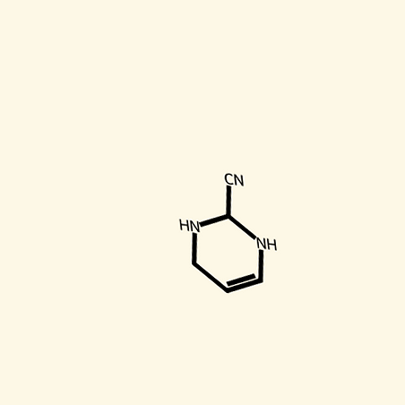 N#CC1NC=CCN1